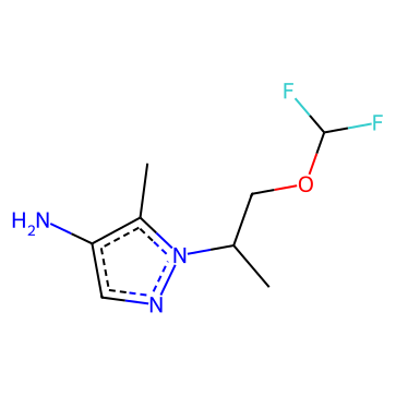 Cc1c(N)cnn1C(C)COC(F)F